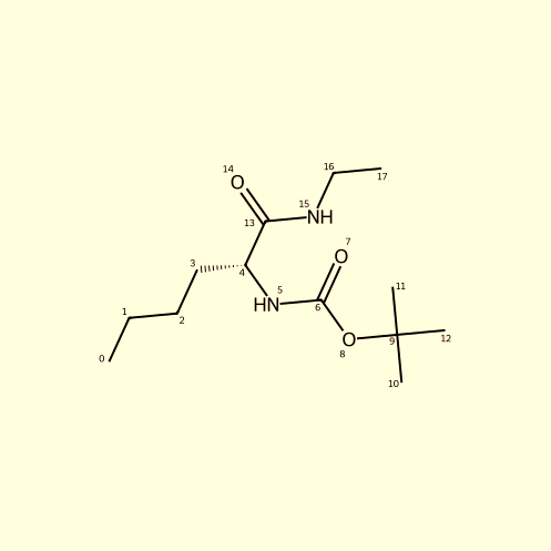 CCCC[C@@H](NC(=O)OC(C)(C)C)C(=O)NCC